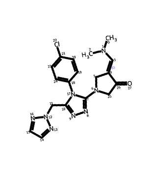 CN(C)/C=C1\CN(c2nnc(Cn3nccn3)n2-c2ccc(Cl)cc2)CC1=O